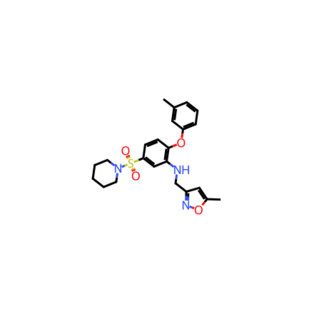 Cc1cccc(Oc2ccc(S(=O)(=O)N3CCCCC3)cc2NCc2cc(C)on2)c1